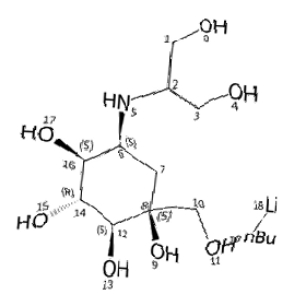 OCC(CO)N[C@H]1C[C@](O)(CO)[C@@H](O)[C@H](O)[C@H]1O.[Li][CH2]CCC